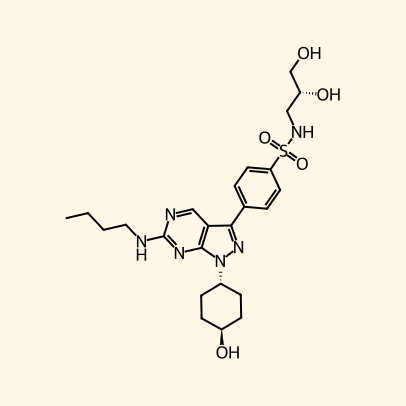 CCCCNc1ncc2c(-c3ccc(S(=O)(=O)NC[C@@H](O)CO)cc3)nn([C@H]3CC[C@H](O)CC3)c2n1